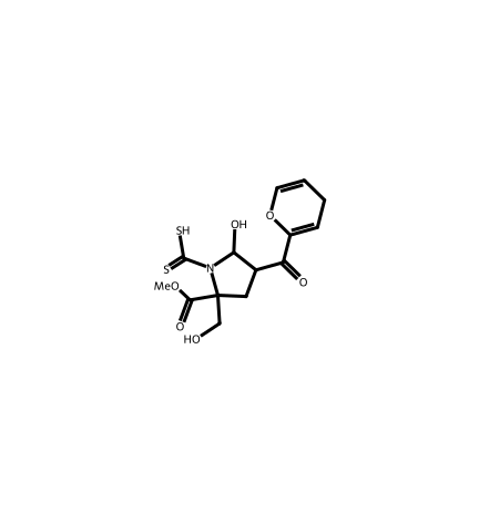 COC(=O)C1(CO)CC(C(=O)C2=CCC=CO2)C(O)N1C(=S)S